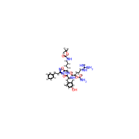 Cc1cc(O)cc(C)c1C[C@H](NC(=O)[C@@H](CCCNC(=N)N)OC(N)=O)C(=O)N[C@@H](CCCCNC(=O)OC(C)(C)C)c1nc(CCc2ccccc2)no1